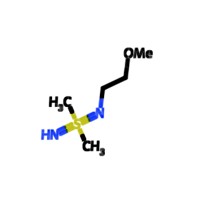 COCCN=S(C)(C)=N